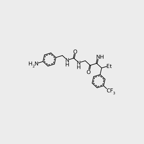 CCC(C(=N)C(=O)CNC(=O)NCc1ccc(N)cc1)c1cccc(C(F)(F)F)c1